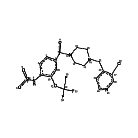 O=C(c1ccc(N[SH](=O)=O)c(OC(F)(F)F)c1)N1CCN(Cc2ccncc2Cl)CC1